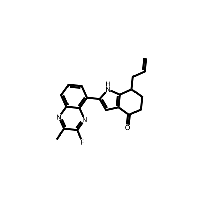 C=CCC1CCC(=O)c2cc(-c3cccc4nc(C)c(F)nc34)[nH]c21